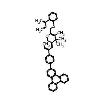 C=CC(=C)c1ccccc1SCC1=C(C)C(C)(C)/C(=C/C(=C\C)c2ccc(-c3ccc4c5ccccc5c5ccccc5c4c3)cc2)CO1